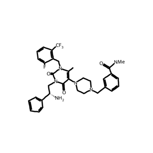 CNC(=O)c1cccc(CN2CCN(c3c(C)n(Cc4c(F)cccc4C(F)(F)F)c(=O)n(C[C@H](N)c4ccccc4)c3=O)CC2)c1